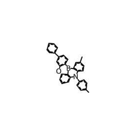 Cc1ccc(N2c3ccc(C)cc3B3c4ccc(-c5ccccc5)cc4Oc4cccc2c43)cc1